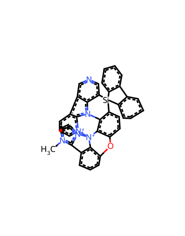 Cn1c2[n+](c3ccccc31)[N+]13c4c(cccc4-2)Oc2ccc4c(c21)-n1c2c(cncc2c2ccc[n+]3c21)[Si]41c2ccccc2-c2ccccc21